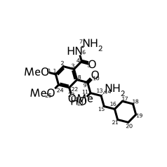 COc1cc(C(=O)NN)c(C(=O)C(O)[C@H](N)CC2CCCCC2)c(OC)c1OC